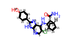 NC(=O)[C@@H]1[C@H](Nc2c(Cl)cnc3[nH]c(-c4ccc(O)cc4)nc23)[C@H]2C=C[C@@H]1C2